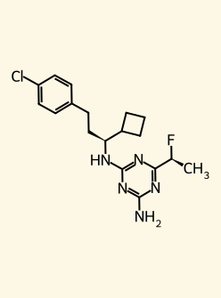 C[C@H](F)c1nc(N)nc(N[C@@H](CCc2ccc(Cl)cc2)C2CCC2)n1